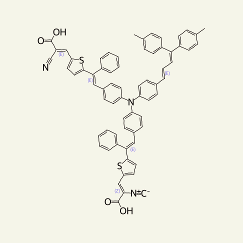 [C-]#[N+]/C(=C\c1ccc(/C(=C/c2ccc(N(c3ccc(/C=C/C=C(c4ccc(C)cc4)c4ccc(C)cc4)cc3)c3ccc(/C=C(\c4ccccc4)c4ccc(/C=C(\C#N)C(=O)O)s4)cc3)cc2)c2ccccc2)s1)C(=O)O